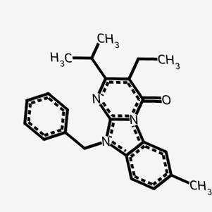 CCc1c(C(C)C)nc2n(Cc3ccccc3)c3ccc(C)cc3n2c1=O